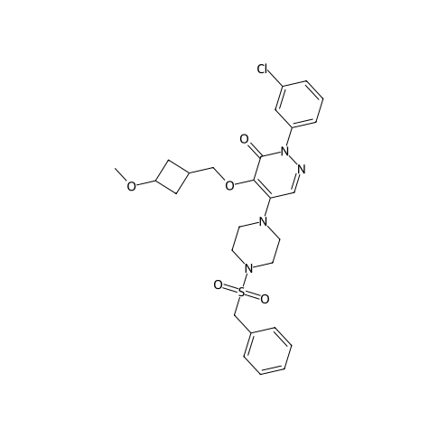 COC1CC(COc2c(N3CCN(S(=O)(=O)Cc4ccccc4)CC3)cnn(-c3cccc(Cl)c3)c2=O)C1